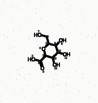 O=C(O)C1OC(CO)C(O)C(O)C1O